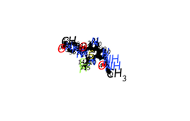 CCNC(=O)Nc1cc(-c2nc(C(F)(F)F)cs2)c(-c2cncc(-c3nnc(N4CCN(C(C)=O)CC4)o3)c2)cn1